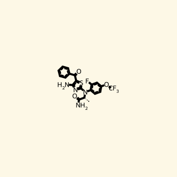 C[C@H](C(N)=O)N(c1nc(N)c(C(=O)c2ccccc2)s1)c1ccc(OC(F)(F)F)cc1F